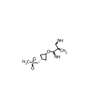 C=C(C=N)C(=N)O[C@H]1C[C@H](CS(C)(=O)=O)C1